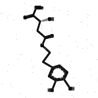 COC(=O)[C@H](O)CC(=O)OCCc1ccc(O)c(O)c1